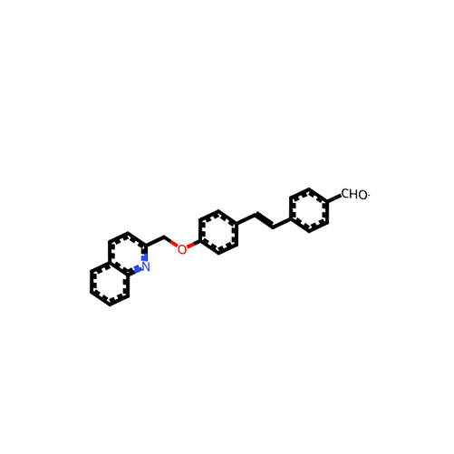 O=[C]c1ccc(C=Cc2ccc(OCc3ccc4ccccc4n3)cc2)cc1